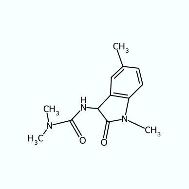 Cc1ccc2c(c1)C(NC(=O)N(C)C)C(=O)N2C